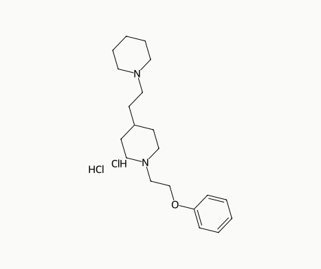 Cl.Cl.c1ccc(OCCN2CCC(CCN3CCCCC3)CC2)cc1